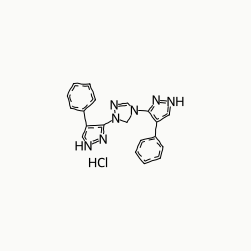 C1=NN(c2n[nH]cc2-c2ccccc2)CN1c1n[nH]cc1-c1ccccc1.Cl